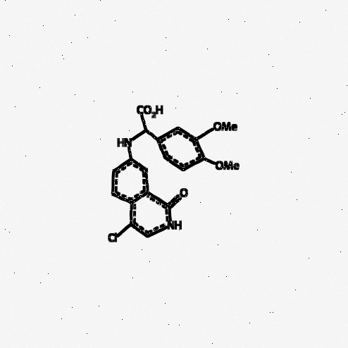 COc1ccc(C(Nc2ccc3c(Cl)c[nH]c(=O)c3c2)C(=O)O)cc1OC